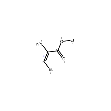 CC/C=C(/CCC)C(=O)OCC